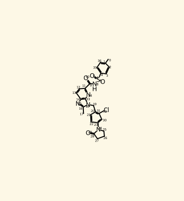 Cc1ccc(S(=O)(=O)NC(=O)c2ccc3nc(C)n(Cc4ccc(N5CCCC5=O)cc4Cl)c3n2)cc1